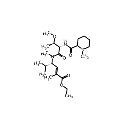 CCOC(=O)/C(C)=C/[C@H](C(C)C)N(C)C(=O)[C@@H](NC(=O)C1CCCCN1C)[C@@H](C)OC